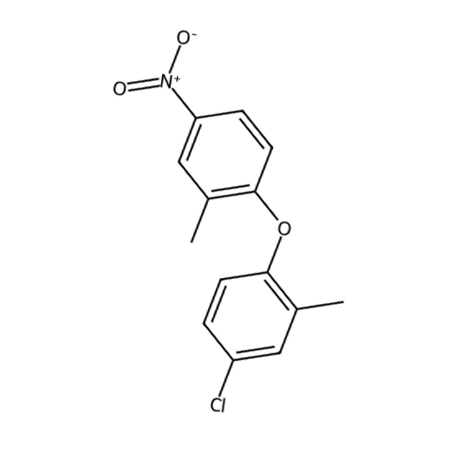 Cc1cc(Cl)ccc1Oc1ccc([N+](=O)[O-])cc1C